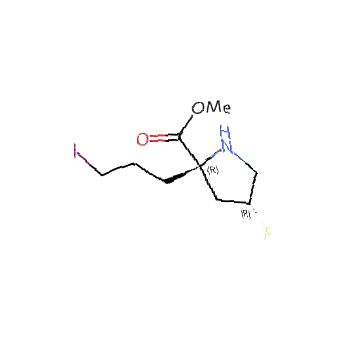 COC(=O)[C@@]1(CCCI)C[C@@H](F)CN1